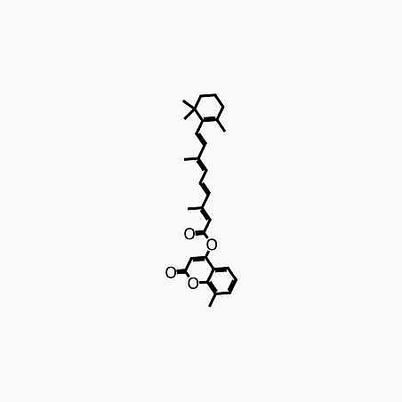 CC1=C(/C=C/C(C)=C/C=C/C(C)=C/C(=O)Oc2cc(=O)oc3c(C)cccc23)C(C)(C)CCC1